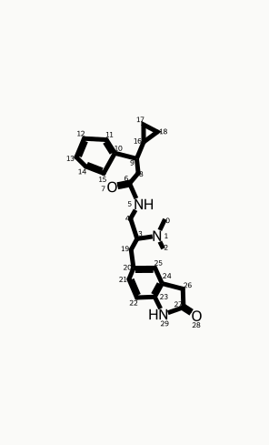 CN(C)C(CNC(=O)CC(c1ccccc1)C1CC1)Cc1ccc2c(c1)CC(=O)N2